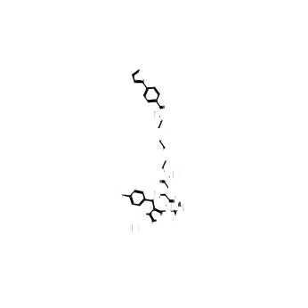 Cc1sc2c(c1C)C(c1ccc(Cl)cc1)=N[C@@H](CC(=O)NCCOCCOCCNC(=O)c1ccc(-c3ccco3)cc1)c1nnc(C)n1-2